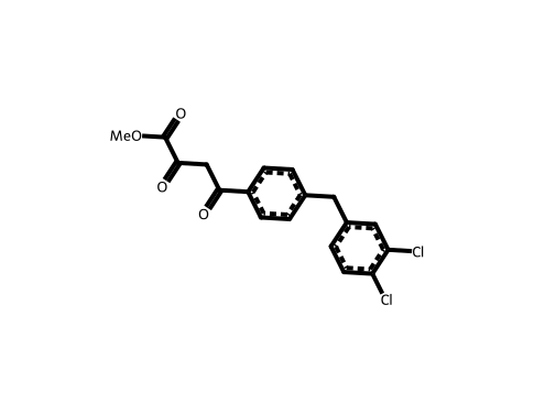 COC(=O)C(=O)CC(=O)c1ccc(Cc2ccc(Cl)c(Cl)c2)cc1